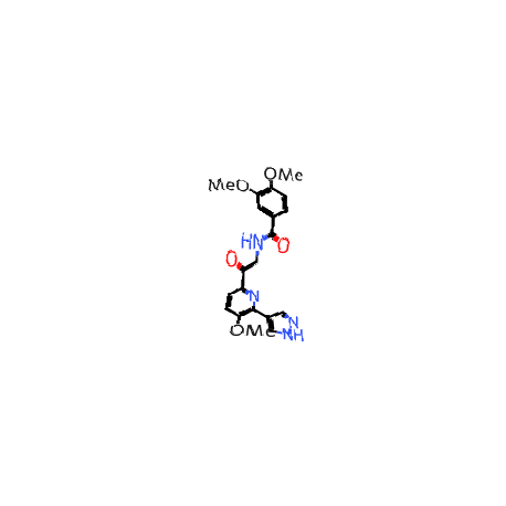 COc1ccc(C(=O)NCC(=O)c2ccc(OC)c(-c3cn[nH]c3)n2)cc1OC